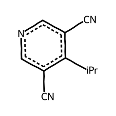 CC(C)c1c(C#N)cncc1C#N